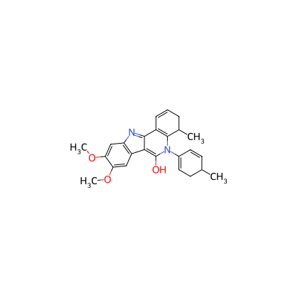 COc1cc2nc3c4c(n(C5=CCC(C)C=C5)c(O)c-3c2cc1OC)C(C)CC=C4